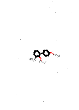 CCCCCCCCOc1ccc(-c2cccc(C(=O)O)c2OC(=O)O)cc1